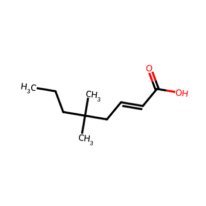 CCCC(C)(C)CC=CC(=O)O